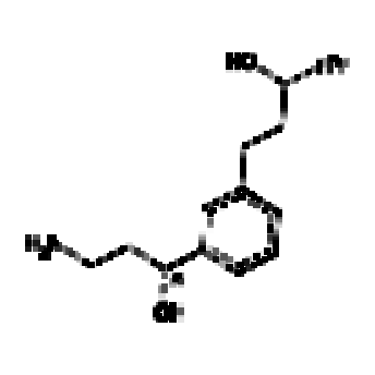 CCCC(O)CCc1cccc([C@H](O)CCN)c1